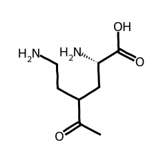 CC(=O)C(CCN)C[C@H](N)C(=O)O